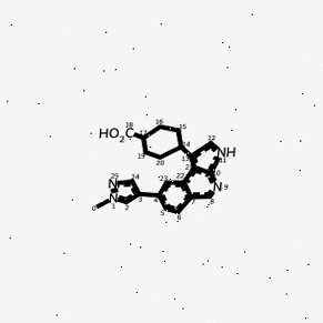 Cn1cc(-c2ccc3cnc4[nH]cc(C5CCC(C(=O)O)CC5)c4c3c2)cn1